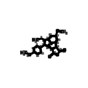 CCc1c(-c2ccc(OC)cc2)c2c3c(c4cc(OC)cc1n42)C(=O)OC3=O